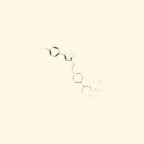 CNN(C(=O)O)C(CC=O)C1CCN(CCc2cc(-c3ccc(Cl)cc3)on2)CC1